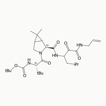 C=CCNC(=O)C(=O)C(CC(C)C)NC(=O)[C@@H]1C2C(CN1C(=O)[C@@H](NC(=O)OC(C)(C)C)C(C)(C)C)C2(C)C